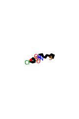 O=S(=O)(c1ccc(Cl)cc1)n1ccc(/C=C/c2cccs2)n1